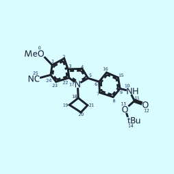 COc1cc2cc(-c3ccc(NC(=O)OC(C)(C)C)cc3)n(C3CCC3)c2cc1C#N